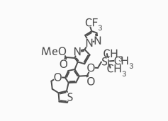 COC(=O)c1nc(-n2cc(C(F)(F)F)cn2)ccc1-c1cc2c(cc1C(=O)OCC[Si](C)(C)C)-c1sccc1CCO2